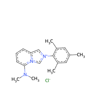 Cc1cc(C)c(-[n+]2cc3cccc(N(C)C)n3c2)c(C)c1.[Cl-]